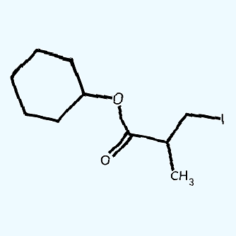 CC(CI)C(=O)OC1CCCCC1